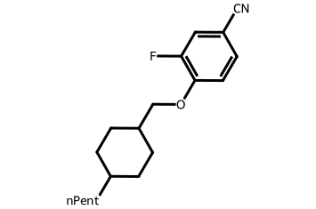 CCCCCC1CCC(COc2ccc(C#N)cc2F)CC1